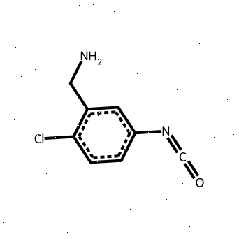 NCc1cc(N=C=O)ccc1Cl